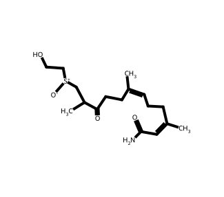 CC(=CC(N)=O)CCC=C(C)CCC(=O)C(C)C[S+]([O-])CCO